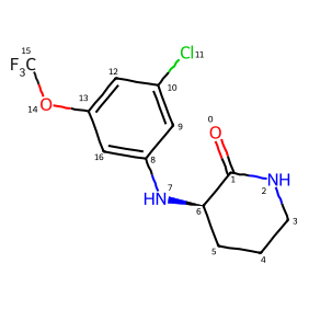 O=C1NCCC[C@H]1Nc1cc(Cl)cc(OC(F)(F)F)c1